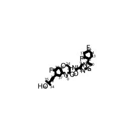 CN1C(=O)[C@@H](NC(=O)c2cn3c(-c4ccc(F)cc4F)csc3n2)COc2cc(F)c(C#CC(C)(C)O)cc21